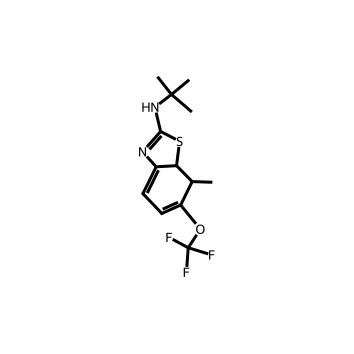 CC1C(OC(F)(F)F)=CC=C2N=C(NC(C)(C)C)SC21